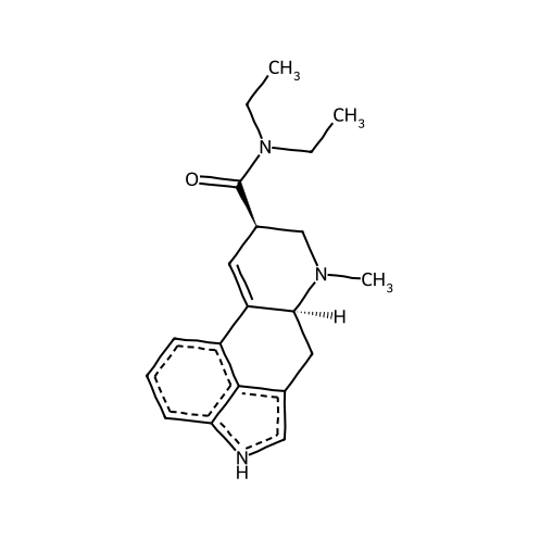 CCN(CC)C(=O)[C@@H]1C=C2c3cccc4[nH]cc(c34)C[C@@H]2N(C)C1